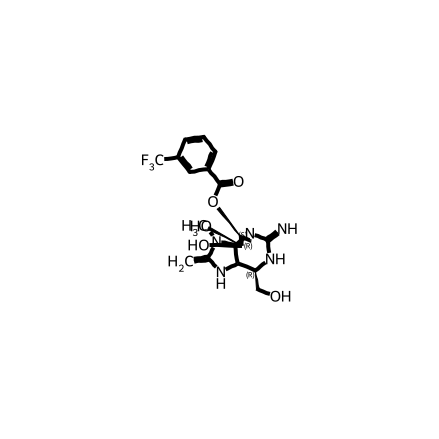 C=C1NC2[C@H](CO)NC(=N)N3C[C@H](OC(=O)c4cccc(C(F)(F)F)c4)[C@](C)(O)C23N1O